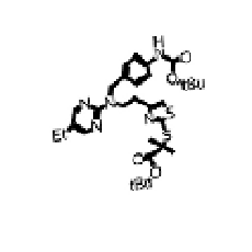 CCc1cnc(N(CCc2csc(SC(C)(C)C(=O)OC(C)(C)C)n2)Cc2ccc(NC(=O)OC(C)(C)C)cc2)nc1